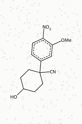 COc1cc(C2(C#N)CCC(O)CC2)ccc1[N+](=O)[O-]